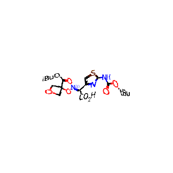 CC(C)COC(=O)C1(O/N=C(\C(=O)O)c2csc(NC(=O)OC(C)(C)C)n2)COC1